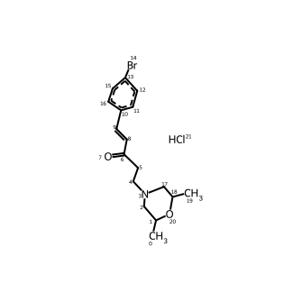 CC1CN(CCC(=O)C=Cc2ccc(Br)cc2)CC(C)O1.Cl